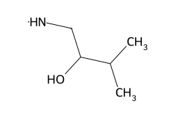 CC(C)C(O)C[NH]